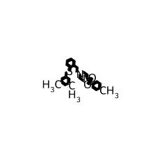 Cc1ccc(S(=O)(=O)N2CCN(CCc3ccccc3SCc3cc(C)cc(C)c3)CC2)cc1